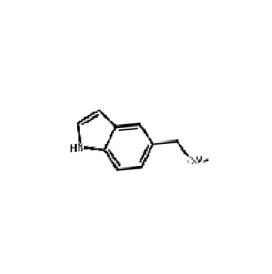 COCc1ccc2[nH]ccc2c1